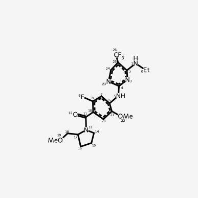 CCNc1nc(Nc2cc(F)c(C(=O)N3CCCC3COC)cc2OC)ncc1C(F)(F)F